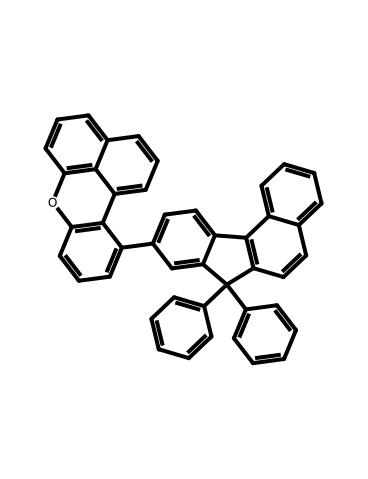 c1ccc(C2(c3ccccc3)c3cc(-c4cccc5c4-c4cccc6cccc(c46)O5)ccc3-c3c2ccc2ccccc32)cc1